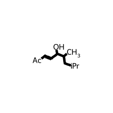 CC(=O)/C=C/C(O)C(C)CC(C)C